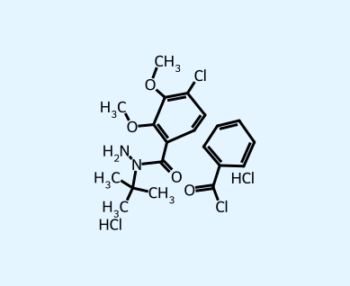 COc1c(Cl)ccc(C(=O)N(N)C(C)(C)C)c1OC.Cl.Cl.O=C(Cl)c1ccccc1